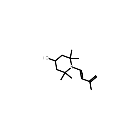 C=C(C)C=CN1C(C)(C)CC(O)CC1(C)C